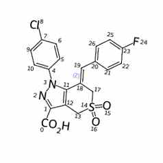 O=C(O)c1nn(-c2ccc(Cl)cc2)c2c1CS(=O)(=O)C/C2=C\c1ccc(F)cc1